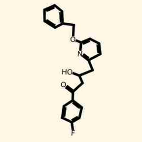 O=C(CC(O)Cc1cccc(OCc2ccccc2)n1)c1ccc(F)cc1